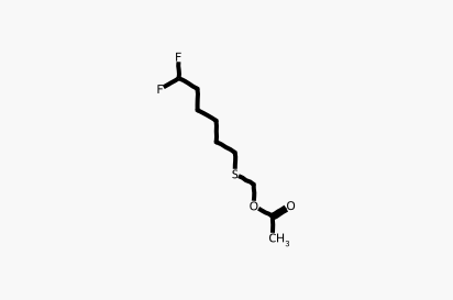 CC(=O)OCSCCCCCC(F)F